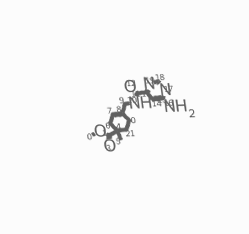 COC(=O)C1(C)CC=C(CNC(=O)c2cc(N)ncn2)CC1